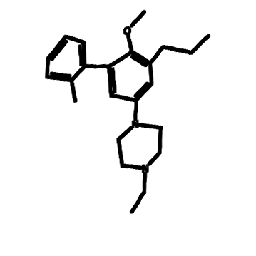 CCCc1cc(N2CCN(CC)CC2)cc(-c2ccccc2C)c1OC